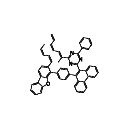 C=C/C=C\C=C(/C)c1nc(-c2ccccc2)nc(-c2c(-c3ccc(-c4c(/C=C\C=C/C)ccc5c4oc4ccccc45)cc3)c3ccccc3c3ccccc23)n1